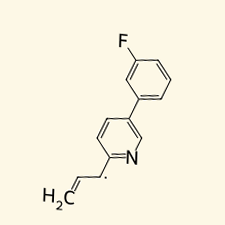 C=C[CH]c1ccc(-c2cccc(F)c2)cn1